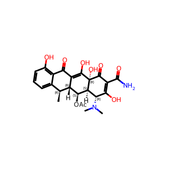 CC(=O)O[C@H]1[C@H]2C(=C(O)[C@@]3(O)C(=O)C(C(N)=O)=C(O)[C@H](N(C)C)[C@@H]13)C(=O)c1c(O)cccc1[C@@H]2C